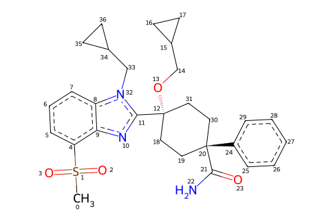 CS(=O)(=O)c1cccc2c1nc([C@]1(OCC3CC3)CC[C@](C(N)=O)(c3ccccc3)CC1)n2CC1CC1